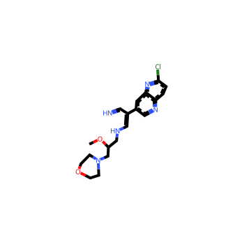 COC(CN/C=C(\C=N)c1cnc2ccc(Cl)nc2c1)CN1CCOCC1